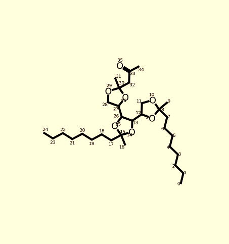 CCCCCCCCC1(C)OCC(C2OC(C)(CCCCCCCC)OC2C2COC(C)(CC(C)=O)O2)O1